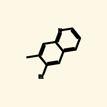 [CH2]Cc1cc2cccnc2cc1C